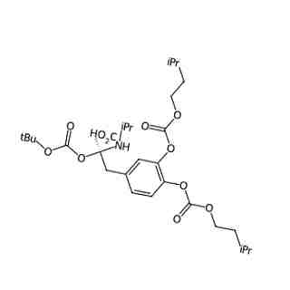 CC(C)CCOC(=O)Oc1ccc(C[C@](NC(C)C)(OC(=O)OC(C)(C)C)C(=O)O)cc1OC(=O)OCCC(C)C